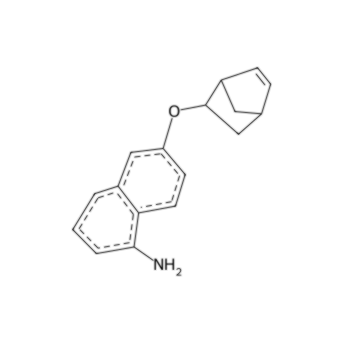 Nc1cccc2cc(OC3CC4C=CC3C4)ccc12